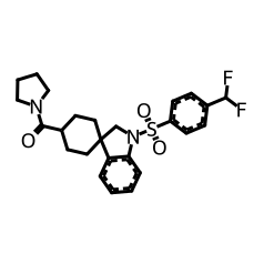 O=C(C1CCC2(CC1)CN(S(=O)(=O)c1ccc(C(F)F)cc1)c1ccccc12)N1CCCC1